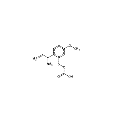 C=CC(N)c1ccc(OC)cc1SOC(=O)O